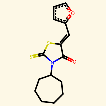 O=C1/C(=C/c2ccco2)SC(=S)N1C1CCCCCC1